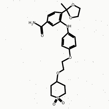 CC1(c2ccc(C(N)=O)cc2Nc2ccc(OCCOC3CCS(=O)(=O)CC3)cc2)OCCO1